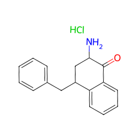 Cl.NC1CC(Cc2ccccc2)c2ccccc2C1=O